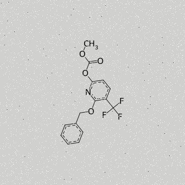 COC(=O)Oc1ccc(C(F)(F)F)c(OCc2ccccc2)n1